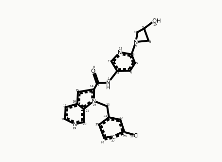 O=C(Nc1ccc(N2CC(O)C2)nc1)c1cc2ccncc2n1Cc1cccc(Cl)c1